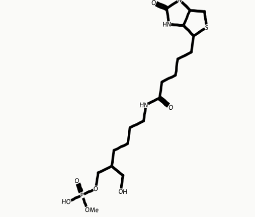 COP(=O)(O)OCC(CO)CCCCNC(=O)CCCCC1SCC2NC(=O)NC21